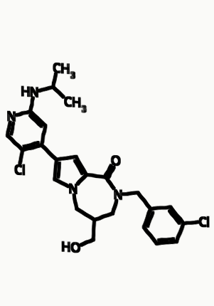 CC(C)Nc1cc(-c2cc3n(c2)CC(CO)CN(Cc2cccc(Cl)c2)C3=O)c(Cl)cn1